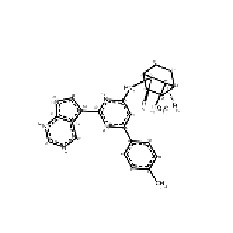 Cc1ccc(-c2cc(N[C@@H]3C4CCC(CC4)[C@H]3C(=O)O)nc(-c3c[nH]c4ncncc34)n2)cc1